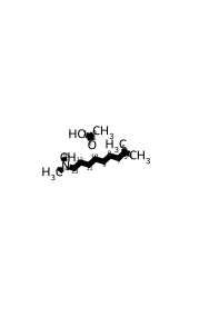 CC(=O)O.CC(C)CCCCCCCN(C)C